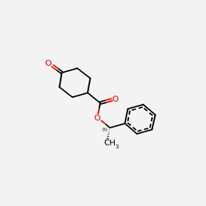 C[C@H](OC(=O)C1CCC(=O)CC1)c1ccccc1